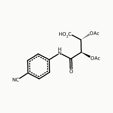 CC(=O)O[C@@H](C(=O)O)[C@@H](OC(C)=O)C(=O)Nc1ccc(C#N)cc1